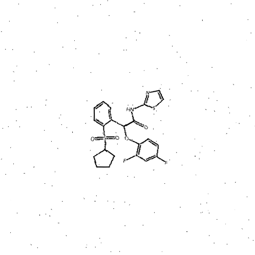 O=C(Nc1nccs1)C(Oc1ccc(F)cc1F)c1ccccc1S(=O)(=O)C1CCCC1